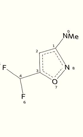 CNc1cc(C(F)F)on1